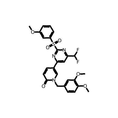 COc1cccc(S(=O)(=O)c2nc(-c3ccc(=O)n(Cc4ccc(OC)c(OC)c4)c3)cc(C(F)F)n2)c1